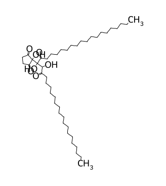 CCCCCCCCCCCCCCCCCCC(=O)C(O)C(O)(C(=O)CCCCCCCCCCCCCCCCCC)C1(O)C(=O)CCC1=O